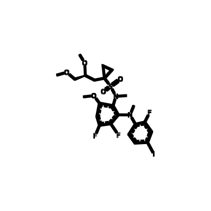 COC[C@H](CC1(S(=O)(=O)N(C)c2c(OC)cc(F)c(F)c2N(C)c2ccc(I)cc2F)CC1)OC